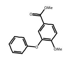 COC(=O)c1ccc(OC)c(Oc2ccccc2)c1